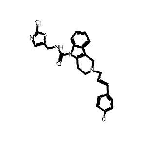 O=C(NCc1cnc(Cl)s1)n1c2c(c3ccccc31)CN(C/C=C/c1ccc(Cl)cc1)CC2